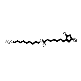 CCCCCCCCCCOC(=O)CCCCCCC1=CC(Br)CC1=O